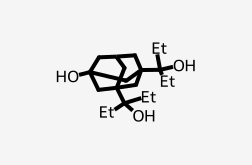 CCC(O)(CC)C12CC3CC(O)(C1)CC(C(O)(CC)CC)(C3)C2